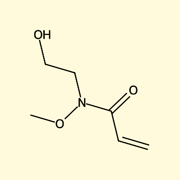 C=CC(=O)N(CCO)OC